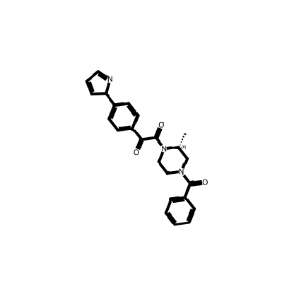 C[C@@H]1CN(C(=O)c2ccccc2)CCN1C(=O)C(=O)c1ccc(C2C=CC=N2)cc1